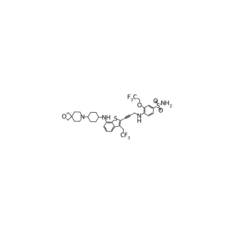 NS(=O)(=O)c1ccc(NCC#Cc2sc3c(NC4CCC(N5CCC6(CC5)COC6)CC4)cccc3c2CC(F)(F)F)c(OCC(F)(F)F)c1